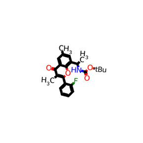 Cc1cc(C(C)NC(=O)OC(C)(C)C)c2oc(-c3ccccc3F)c(C)c(=O)c2c1